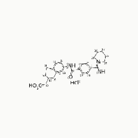 Cl.N=C(c1ccc(C(=O)Nc2ccc3c(c2)CC(CC(=O)O)CC3)cc1)N1CCCCC1